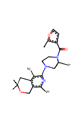 Cc1occc1C(=O)N1CCN(c2nc(C(C)C)c3c(c2C#N)CC(C)(C)OC3)CC1C(C)C